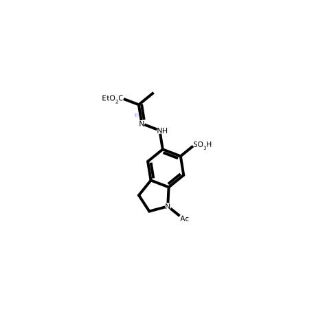 CCOC(=O)/C(C)=N/Nc1cc2c(cc1S(=O)(=O)O)N(C(C)=O)CC2